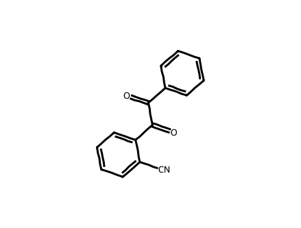 N#Cc1ccccc1C(=O)C(=O)c1ccccc1